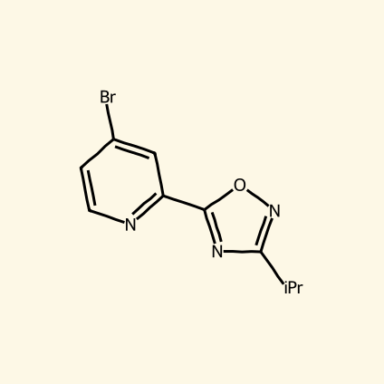 CC(C)c1noc(-c2cc(Br)ccn2)n1